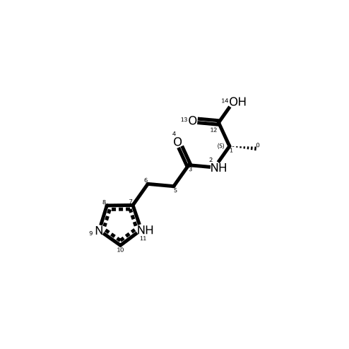 C[C@H](NC(=O)CCc1cnc[nH]1)C(=O)O